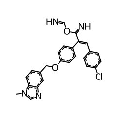 Cn1cnc2cc(COc3ccc(/C(=C\c4ccc(Cl)cc4)C(=N)OC=N)cc3)ccc21